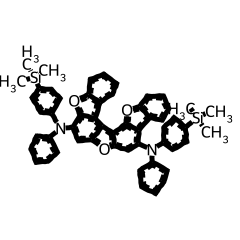 C[Si](C)(C)c1ccc(N(c2ccccc2)c2cc3oc4cc(N(c5ccccc5)c5ccc([Si](C)(C)C)cc5)c5c6ccccc6oc5c4c3c3c2oc2ccccc23)cc1